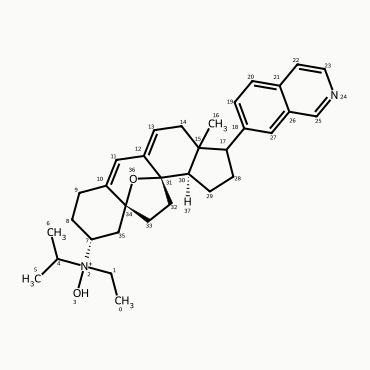 CC[N+](O)(C(C)C)[C@@H]1CCC2=CC3=CCC4(C)C(c5ccc6ccncc6c5)CC[C@H]4[C@@]34CC[C@]2(C1)O4